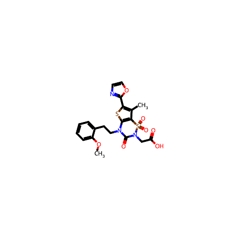 COc1ccccc1CCN1C(=O)N(CC(=O)O)S(=O)(=O)c2c1sc(-c1ncco1)c2C